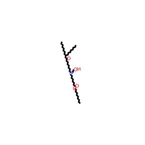 CCCCCCCCCOC(=O)CCCCCCCN(CCO)CCCCCCCC(=O)CC(CCCCCCCC)CCCCCCCC